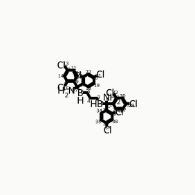 NC(BCCCBC(N)(c1ccc(Cl)cc1Cl)c1ccc(Cl)cc1Cl)(c1ccc(Cl)cc1Cl)c1ccc(Cl)cc1Cl